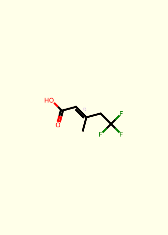 C/C(=C\C(=O)O)CC(F)(F)F